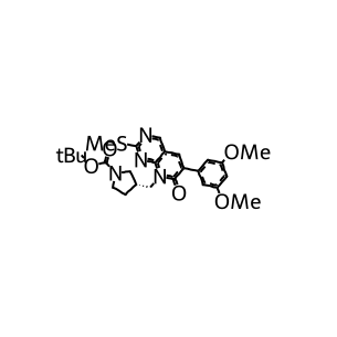 COc1cc(OC)cc(-c2cc3cnc(SC)nc3n(C[C@@H]3CCN(C(=O)OC(C)(C)C)C3)c2=O)c1